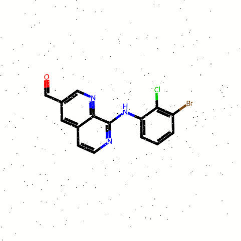 O=Cc1cnc2c(Nc3cccc(Br)c3Cl)nccc2c1